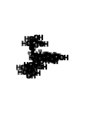 C[C@@H](CC[C@@]1(O)OC2(O[C@@H]3O[C@H](CO)[C@@H](O)[C@H](O[C@@H]4O[C@H](CO)[C@@H](O)[C@H](O)[C@H]4O)[C@H]3O)C[C@H]3[C@@H]4CC[C@@H]5C[C@@H](O)CC[C@]5(C)[C@H]4CC[C@]3(C)[C@H]2[C@@H]1C)CO[C@@H]1O[C@H](CO)[C@H](O)[C@H](O)[C@H]1O